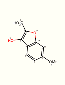 COc1ccc2c(O)c(C(=O)O)oc2c1